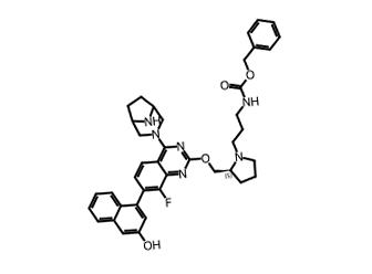 O=C(NCCCN1CCC[C@H]1COc1nc(N2CC3CCC(C2)N3)c2ccc(-c3cc(O)cc4ccccc34)c(F)c2n1)OCc1ccccc1